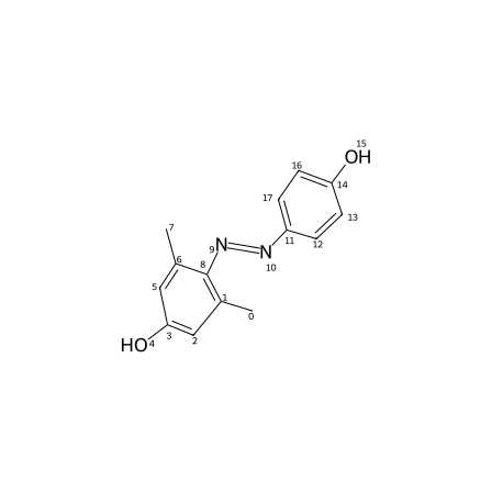 Cc1cc(O)cc(C)c1/N=N/c1ccc(O)cc1